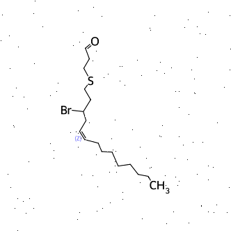 CCCCCCCC/C=C\CC(Br)CCSCCC=O